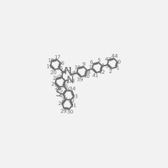 c1ccc(-c2ccc(-c3ccc(-c4nc(-c5ccccc5)c5ccc6sc7c8ccccc8ccc7c6c5n4)cc3)cc2)cc1